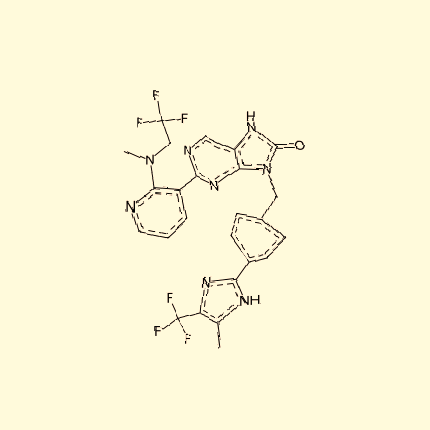 Cc1[nH]c(-c2ccc(Cn3c(=O)[nH]c4cnc(-c5cccnc5N(C)CC(F)(F)F)nc43)cc2)nc1C(F)(F)F